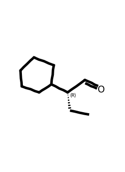 CC[C@@H](C=O)C1CCCCC1